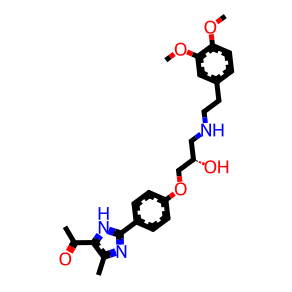 COc1ccc(CCNC[C@H](O)COc2ccc(-c3nc(C)c(C(C)=O)[nH]3)cc2)cc1OC